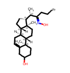 CC(C)CCC(=NO)[C@@H](C)[C@H]1CC[C@H]2[C@@H]3CC=C4CC(O)CC[C@]4(C)[C@H]3CC[C@]12C